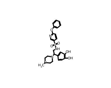 CN1CCN(C(CNS(=O)(=O)c2ccc(Oc3ccccc3)nc2)c2ccc(O)c(O)c2)CC1